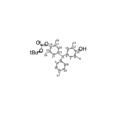 Cc1ccc(C(c2cc(C)c(O)c(C)c2)c2cc(C)c(OC(=O)OC(C)(C)C)c(C)c2)cc1